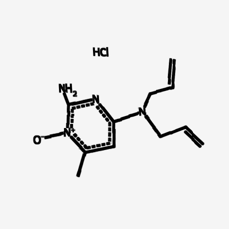 C=CCN(CC=C)c1cc(C)[n+]([O-])c(N)n1.Cl